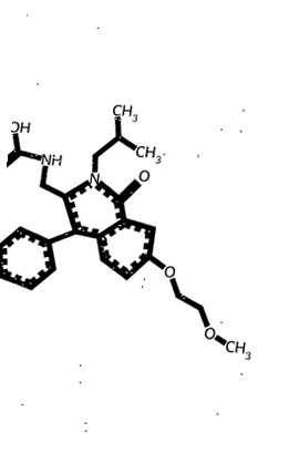 COCCOc1ccc2c(-c3ccccc3)c(CNC(=O)O)n(CC(C)C)c(=O)c2c1